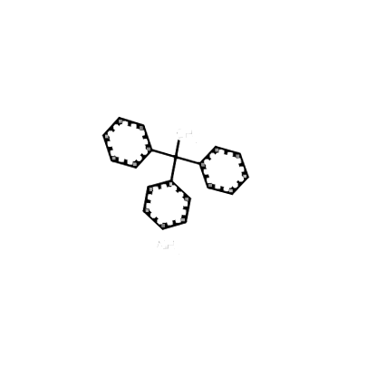 [AlH3].[CH2]C(c1ccccc1)(c1ccccc1)c1ccccc1